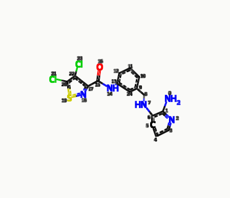 Nc1ncccc1NCc1cccc(NC(=O)c2nsc(Cl)c2Cl)c1